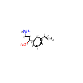 C=Cc1cccc(C(O)CCN)c1